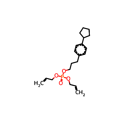 C=CCOP(=O)(OCC=C)OCCCc1ccc(C2CCCC2)cc1